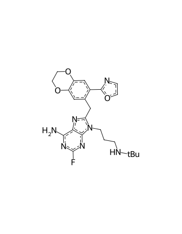 CC(C)(C)NCCCn1c(Cc2cc3c(cc2-c2ncco2)OCCO3)nc2c(N)nc(F)nc21